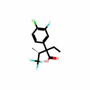 CCC(C(=O)O)(c1ccc(Cl)c(F)c1)[C@@H](C)C(F)(F)F